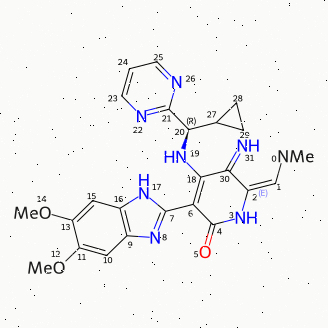 CN/C=C1/NC(=O)C(c2nc3cc(OC)c(OC)cc3[nH]2)=C(N[C@@H](c2ncccn2)C2CC2)C1=N